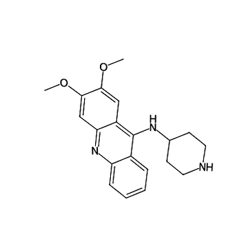 COc1cc2nc3ccccc3c(NC3CCNCC3)c2cc1OC